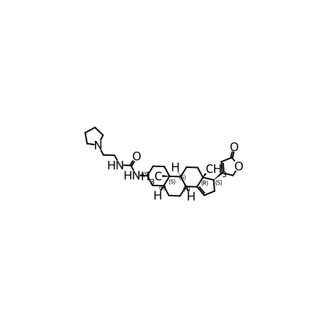 C[C@]12CC[C@H](NC(=O)NCCN3CCCC3)C[C@H]1CC[C@H]1C3=CC[C@H](C4=CC(=O)OC4)[C@@]3(C)CC[C@@H]12